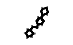 c1cc(C2CCCCC2)ccc1OCC1CCCCC1